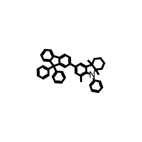 Cc1cc(-c2ccc3c(c2)C(c2ccccc2)(c2ccccc2)c2ccccc2-3)cc2c1N(c1ccccc1)C1(C)CCCCC21C